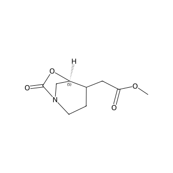 COC(=O)CC1CCN2C[C@H]1OC2=O